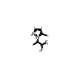 Cc1ccnn1C(C)C(F)F